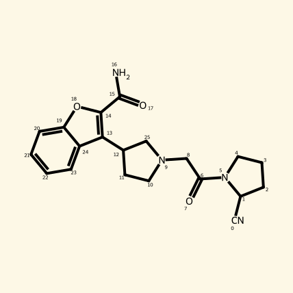 N#CC1CCCN1C(=O)CN1CCC(c2c(C(N)=O)oc3ccccc23)C1